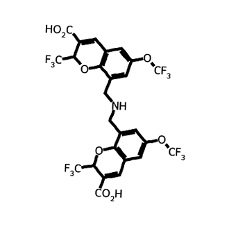 O=C(O)C1=Cc2cc(OC(F)(F)F)cc(CNCc3cc(OC(F)(F)F)cc4c3OC(C(F)(F)F)C(C(=O)O)=C4)c2OC1C(F)(F)F